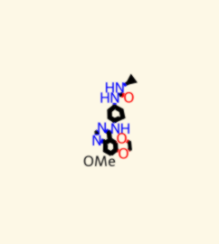 COc1cc2ncnc(Nc3ccc(NC(=O)NC4CC4)cc3)c2c2c1OCCO2